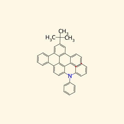 CC(C)(C)c1cc2c3ccccc3c3ccc(N(c4ccccc4)c4ccccc4)c4c5ccccc5c(c1)c2c34